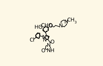 CN1CCN(CCCOc2cccc(-c3cc(C(=O)N4CNC(=O)C4)nn3-c3cccc(Cl)c3)c2)CC1.O=CO